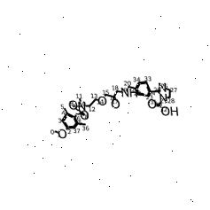 COc1cc(C)c(S(=O)(=O)N(C)CCOCC(=O)CNCc2ccc(C3=NCCN3C(=O)O)cc2)c(C)c1